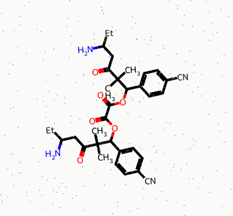 CCC(N)CC(=O)C(C)(C)C(OC(=O)C(=O)OC(c1ccc(C#N)cc1)C(C)(C)C(=O)CC(N)CC)c1ccc(C#N)cc1